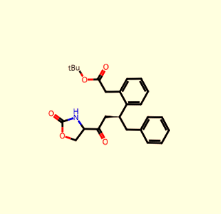 CC(C)(C)OC(=O)Cc1ccccc1[C@H](CC(=O)C1COC(=O)N1)Cc1ccccc1